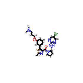 Cc1nc(C(=O)N2CCC[C@H]2CNc2ncc(Br)cn2)c(-c2cccc(OCCCN(C)C)c2)s1